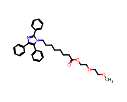 COCCOCCOC(=O)CCCCCCCn1c(-c2ccccc2)nc(-c2ccccc2)c1-c1ccccc1